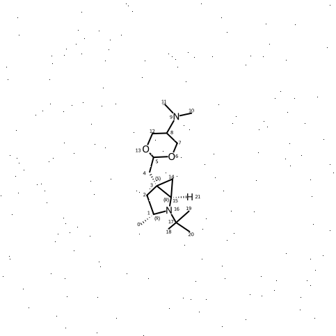 C[C@@H]1C[C@@]2(CC3OCC(N(C)C)CO3)C[C@H]2N1C(C)(C)C